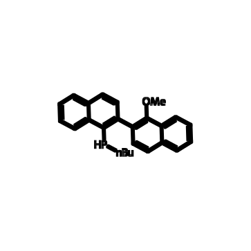 CCCCPc1c(-c2ccc3ccccc3c2OC)ccc2ccccc12